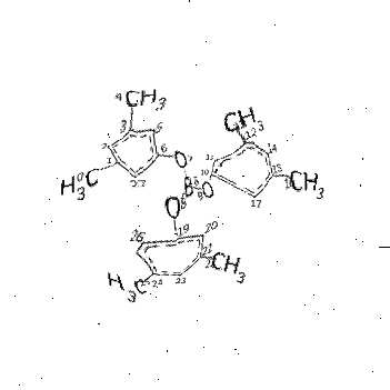 Cc1cc(C)cc(OB(Oc2cc(C)cc(C)c2)Oc2cc(C)cc(C)c2)c1